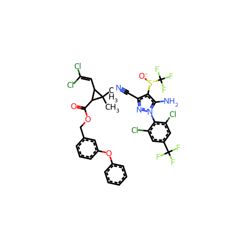 CC1(C)C(C=C(Cl)Cl)C1C(=O)OCc1cccc(Oc2ccccc2)c1.N#Cc1nn(-c2c(Cl)cc(C(F)(F)F)cc2Cl)c(N)c1[S+]([O-])C(F)(F)F